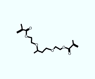 C=C(C)C(=O)OCCOCCC(C)OCCOC(=O)C(=C)C